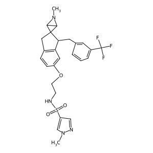 CN1C2C1C21Cc2ccc(OCCNS(=O)(=O)c3cnn(C)c3)cc2C1Cc1cccc(C(F)(F)F)c1